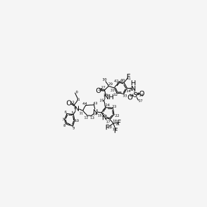 CCC(=O)N(c1ccccc1)C1CCN(c2nc(C(F)(F)F)ccc2CNC(=O)C(C)c2ccc(NS(C)(=O)=O)c(F)c2)CC1